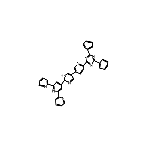 C1=NC(c2cc(-c3ccccn3)nc(-c3ccccn3)c2)NC=C1c1ccc(-c2nc(-c3ccccc3)nc(-c3ccccc3)n2)nc1